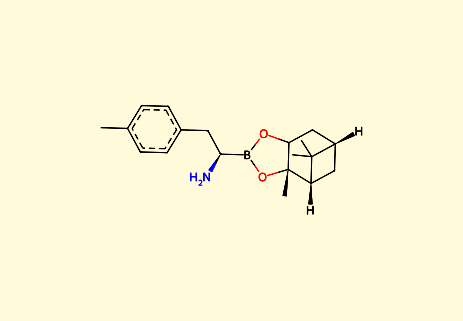 Cc1ccc(C[C@H](N)B2OC3C[C@@H]4C[C@@H](C4(C)C)[C@]3(C)O2)cc1